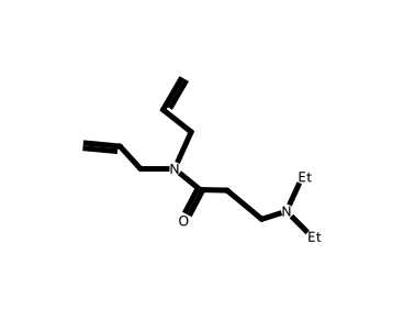 C=CCN(CC=C)C(=O)CCN(CC)CC